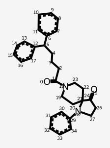 O=C(CCCC(c1ccccc1)c1ccccc1)N1CCC2(CC1)C(=O)CCN2c1ccccc1